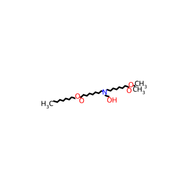 CCCCCCCCCOC(=O)CCCCCCCN(CCO)CCCCCCCC(=O)OC(C)C